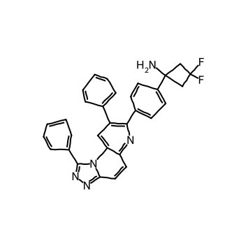 NC1(c2ccc(-c3nc4ccc5nnc(-c6ccccc6)n5c4cc3-c3ccccc3)cc2)CC(F)(F)C1